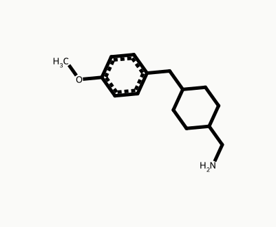 COc1ccc(CC2CCC(CN)CC2)cc1